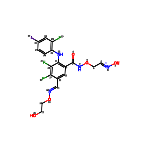 O=C(NOC/C=N/O)c1cc(C=NOCCO)c(F)c(F)c1Nc1ccc(I)cc1F